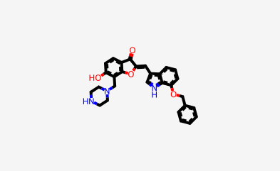 O=C1/C(=C/c2c[nH]c3c(OCc4ccccc4)cccc23)Oc2c1ccc(O)c2CN1CCNCC1